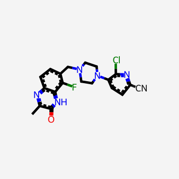 Cc1nc2ccc(CN3CCN(c4ccc(C#N)nc4Cl)CC3)c(F)c2[nH]c1=O